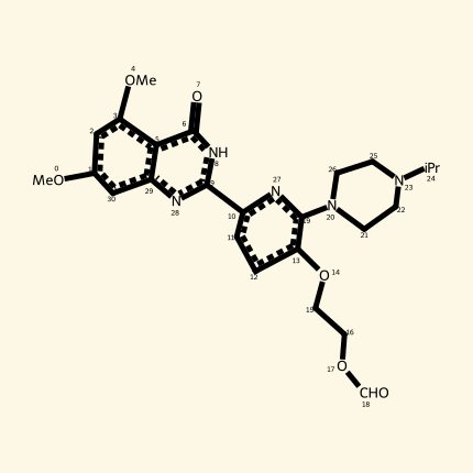 COc1cc(OC)c2c(=O)[nH]c(-c3ccc(OCCOC=O)c(N4CCN(C(C)C)CC4)n3)nc2c1